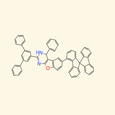 c1ccc(-c2cc(C3=Nc4oc5ccc(-c6cccc7c6-c6ccccc6C76c7ccccc7-c7ccccc76)cc5c4C(c4ccccc4)N3)cc(-c3ccccc3)c2)cc1